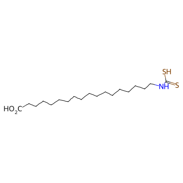 O=C(O)CCCCCCCCCCCCCCCCCNC(=S)S